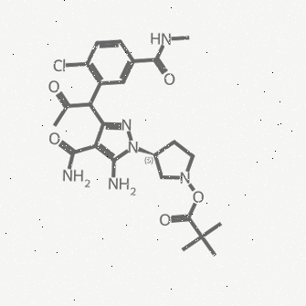 CNC(=O)c1ccc(Cl)c(C(C(C)=O)c2nn([C@H]3CCN(OC(=O)C(C)(C)C)C3)c(N)c2C(N)=O)c1